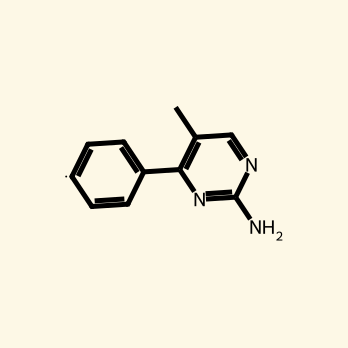 Cc1cnc(N)nc1-c1cc[c]cc1